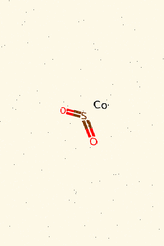 O=S=O.[Co]